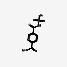 CCCCS(=O)(=O)NC(=O)c1ccc(C(=O)OC)nc1